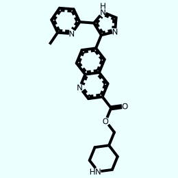 Cc1cccc(-c2[nH]cnc2-c2ccc3ncc(C(=O)OCC4CCNCC4)cc3c2)n1